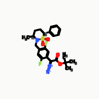 C[C@H]1CC[C@H](c2ccccc2)S(=O)(=O)N1Cc1cc(F)c(C(=[N+]=[N-])C(=O)OC(C)(C)C)cc1F